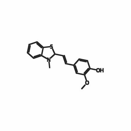 COc1cc(/C=C/C2Sc3ccccc3N2C)ccc1O